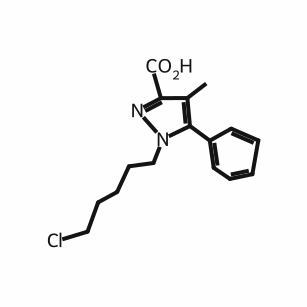 Cc1c(C(=O)O)nn(CCCCCCl)c1-c1ccccc1